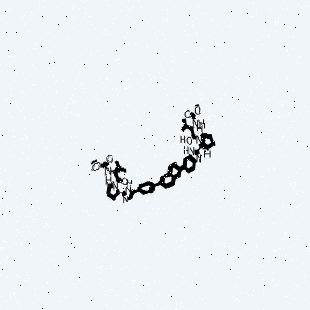 COC(=O)N[C@@H](C(C)C)C(O)N1[C@@H]2CC[C@@H](C2)[C@H]1c1nc2ccc(-c3ccc4cc(-c5ccc(-c6cnc([C@@H]7CCCN7C(=O)[C@@H](NC(=O)OC)C(C)C)[nH]6)cc5)ccc4c3)cc2[nH]1